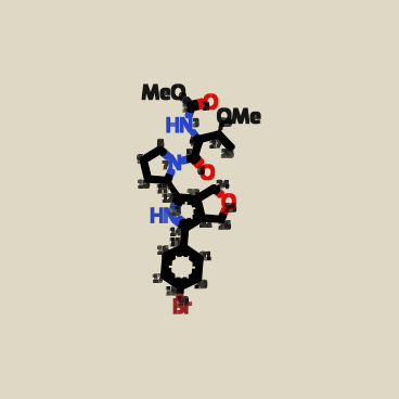 COC(=O)N[C@H](C(=O)N1CCC[C@@H]1c1[nH]c(-c2ccc(Br)cc2)c2c1COC2)[C@@H](C)OC